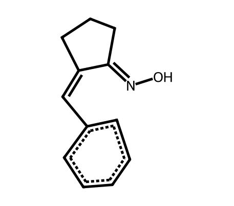 ON=C1CCCC1=Cc1ccccc1